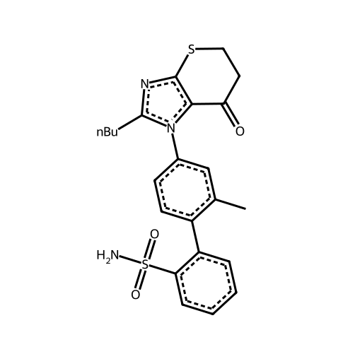 CCCCc1nc2c(n1-c1ccc(-c3ccccc3S(N)(=O)=O)c(C)c1)C(=O)CCS2